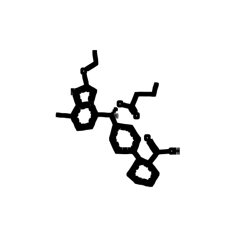 CCCC(=O)O[C@H](c1ccc(-c2ccccc2C(=O)O)cc1)c1ccc(C)c2nc(OCC)cn12